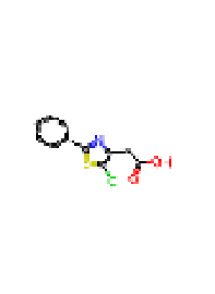 O=C(O)Cc1nc(-c2ccccc2)sc1Cl